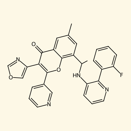 Cc1cc(C(C)Nc2cccnc2-c2ccccc2F)c2oc(-c3cccnc3)c(-c3cocn3)c(=O)c2c1